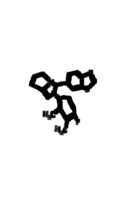 Cc1c(F)ccc(N2C=C3CCCN3C2c2ccc3ncsc3c2)c1C